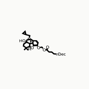 CCCCCCCCCCCCCC(=O)OCOC1=C2O[C@H]3C(C)(C)CC[C@@]4(O)C5CC(C=C1)C2[C@@]34CCN5CC1CC1